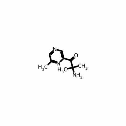 Cc1cncc(C(=O)C(C)(C)N)n1